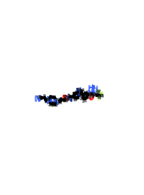 N#CCCN1CCN(CCCO/N=C/c2ccn3c(-c4cccc(NC(=O)NCC(F)(F)F)c4)cnc3c2)CC1